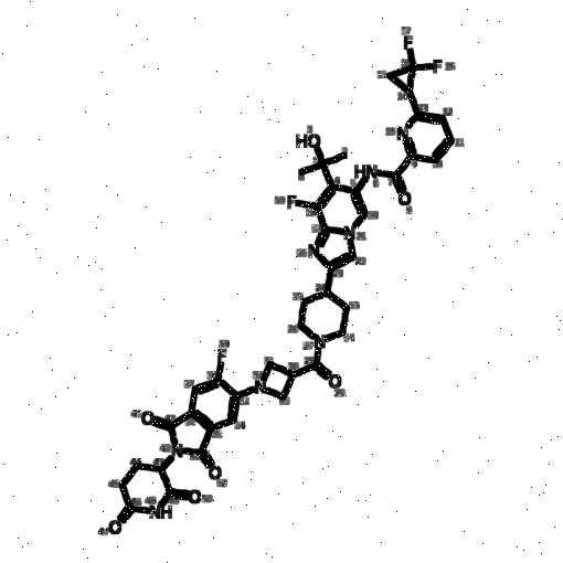 CC(C)(O)c1c(NC(=O)c2cccc(C3CC3(F)F)n2)cn2cc(C3CCN(C(=O)C4CN(c5cc6c(cc5F)C(=O)N(C5CCC(=O)NC5=O)C6=O)C4)CC3)nc2c1F